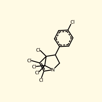 ClC1=C(Cl)C2(Cl)C(c3ccc(Cl)cc3)CN1C2(Cl)Cl